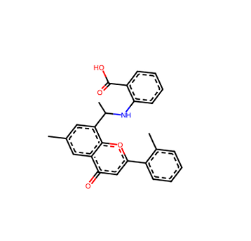 Cc1cc(C(C)Nc2ccccc2C(=O)O)c2oc(-c3ccccc3C)cc(=O)c2c1